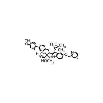 CCC(CC)(C(=O)O)C(Cc1ccc(-c2ncc(OC)cn2)cc1)c1[nH]c2ccc(OCc3cnccn3)cc2c1SC(C)(C)C